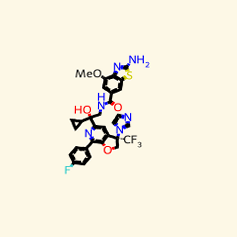 COc1cc(C(=O)NCC(O)(c2cc3c(c(-c4ccc(F)cc4)n2)OC[C@@]3(n2ccnc2)C(F)(F)F)C2CC2)cc2sc(N)nc12